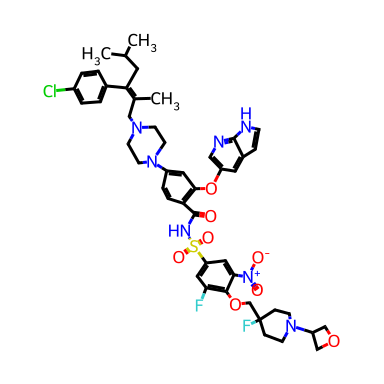 C/C(CN1CCN(c2ccc(C(=O)NS(=O)(=O)c3cc(F)c(OCC4(F)CCN(C5COC5)CC4)c([N+](=O)[O-])c3)c(Oc3cnc4[nH]ccc4c3)c2)CC1)=C(\CC(C)C)c1ccc(Cl)cc1